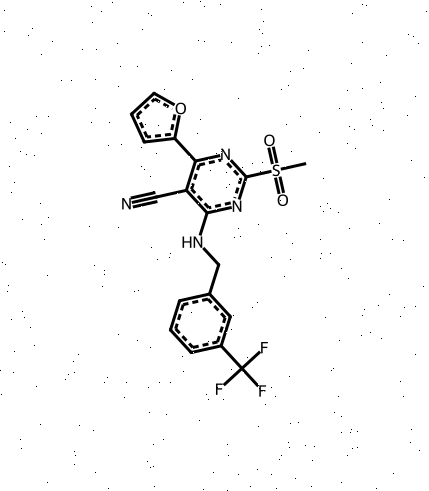 CS(=O)(=O)c1nc(NCc2cccc(C(F)(F)F)c2)c(C#N)c(-c2ccco2)n1